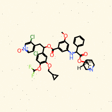 COc1cc(NC(C(=O)O[C@H]2CN3CCC2CC3)c2ccccc2)cc(C(=O)OC(Cc2c(Cl)c[n+]([O-])cc2Cl)c2ccc(OC(F)F)c(OCC3CC3)c2)c1